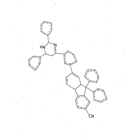 N#Cc1ccc2c(c1)C(c1ccccc1)(c1ccccc1)C1C=C(c3cccc(C4=NC(c5ccccc5)NC(c5ccccc5)C4)c3)C=CC21